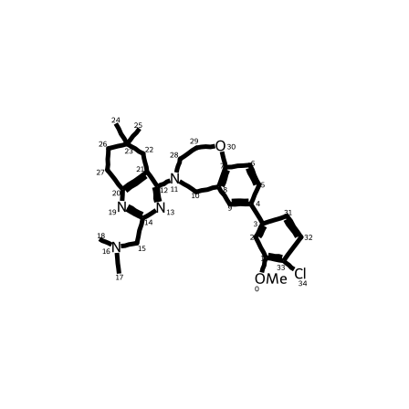 COc1cc(-c2ccc3c(c2)CN(c2nc(CN(C)C)nc4c2CC(C)(C)CC4)CCO3)ccc1Cl